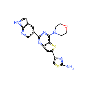 Nc1nc(-c2cc3nc(-c4cnc5[nH]ccc5c4)nc(N4CCOCC4)c3s2)cs1